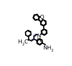 C=C(/C=C(\C=C/Nc1cccc(-c2ccc3oc4ccccc4c3c2)c1)c1ccc(CN)cc1)C1=CC=CCC1